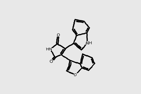 O=C1NC(=O)C(c2coc3ccccc23)=C1c1c[nH]c2ccccc12